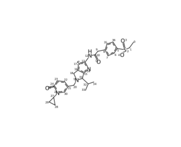 CCS(=O)(=O)c1ccc(CC(=O)Nc2nc3c(s2)CN(Cc2ccc(=O)n(C4CC4)c2)C3C(C)C)cc1